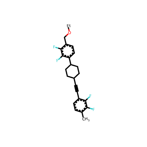 CCOCc1ccc(C2CCC(C#Cc3ccc(C)c(F)c3F)CC2)c(F)c1F